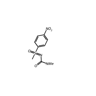 CNC(=O)N=S(C)(=O)c1ccc([N+](=O)[O-])cc1